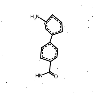 [NH]C(=O)c1ccc(-c2cccc(N)c2)cc1